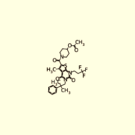 CC(=O)OC1CCN(C(=O)c2sc3c(c2C)c(=O)n(CC(C)(C)c2ccccc2)c(=O)n3CCC(F)(F)F)CC1